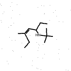 CC/C(C)=C\C(CC)NC(C)(C)C